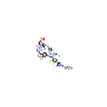 COCCn1cc(-c2ccc(C3=CN(c4ccc(C(=O)N5CCN(C(=O)[C@@H]6C[C@@H](O)C[N+]6(C)C)CC5)c(Cl)c4)C(C)N3C)c(F)c2F)c(C)n1